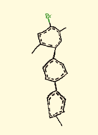 Cc1ccc(-c2ccc(-c3cc(C)c(Br)cc3C)cc2)cc1